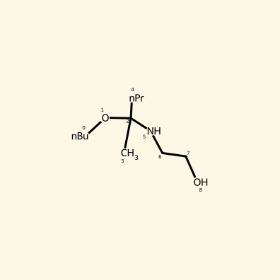 CCCCOC(C)(CCC)NCCO